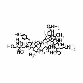 CC(C)C[C@H](NC(=O)[C@H](Cc1ccc(O)cc1)NC(=O)[C@H](CO)NC(=O)[C@@H](N)CO)C(=O)N[C@@H](CCC(=O)O)C(=O)NCC(=O)N[C@@H](CCC(N)=O)C(=O)N[C@@H](C)C(=O)N[C@@H](C)C(=O)N[C@@H](CCCCN)C(=O)O